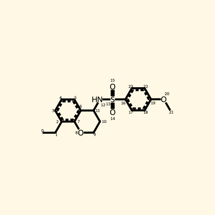 CCc1cccc2c1OCCC2NS(=O)(=O)c1ccc(OC)cc1